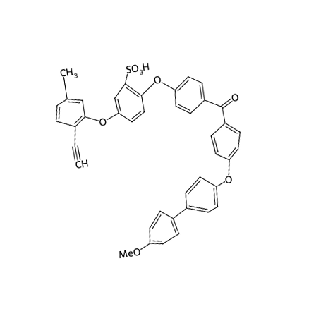 C#Cc1ccc(C)cc1Oc1ccc(Oc2ccc(C(=O)c3ccc(Oc4ccc(-c5ccc(OC)cc5)cc4)cc3)cc2)c(S(=O)(=O)O)c1